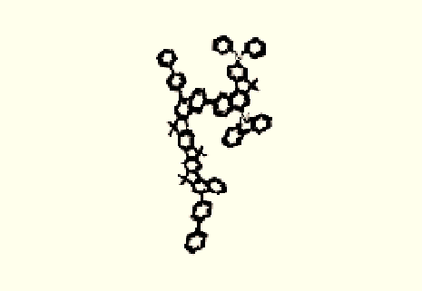 CC1(C)c2cc3c(cc2-c2cc4c(cc21)-c1c(cc(-c2ccc(-c5ccccc5)cc2)c2ccc(-c5ccc6c(-n7c8ccccc8c8ccccc87)cc7c(c6c5)-c5ccc(N(c6ccccc6)c6ccccc6)cc5C7(C)C)cc12)C4(C)C)C(C)(C)c1cc(-c2ccc(-c4ccccc4)cc2)c2ccccc2c1-3